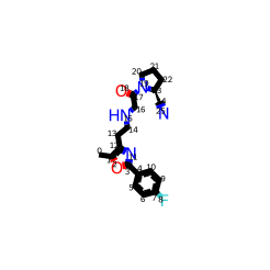 Cc1oc(-c2ccc(F)cc2)nc1CCNCC(=O)N1CCC[C@H]1C#N